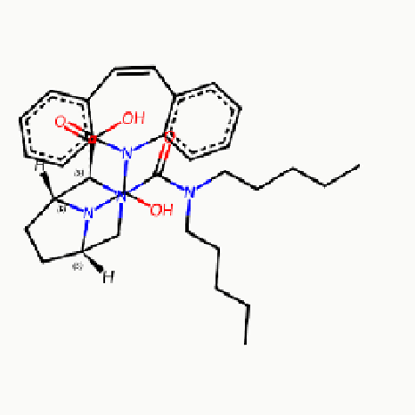 CCCCCN(CCCCC)C(=O)N1C[C@@H]2CC[C@H]([C@H]1C(=O)O)N2C(O)N1c2ccccc2C=Cc2ccccc21